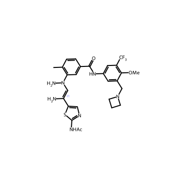 COc1c(CN2CCC2)cc(NC(=O)c2ccc(C)c(N(N)/C=C(\N)c3cnc(NC(C)=O)s3)c2)cc1C(F)(F)F